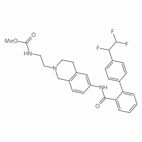 COC(=O)NCCN1CCc2cc(NC(=O)c3ccccc3-c3ccc(C(F)C(F)F)cc3)ccc2C1